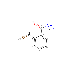 NC(=O)c1ccccc1C=S